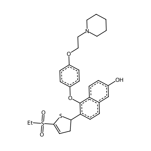 CCS(=O)(=O)C1=CCC(c2ccc3cc(O)ccc3c2Oc2ccc(OCCN3CCCCC3)cc2)S1